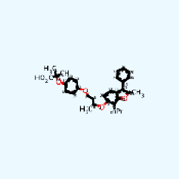 CCCc1c(OC(C)CCOc2ccc(OC(C)(C)C(=O)O)cc2)ccc2c(-c3ccccc3)c(C)oc12